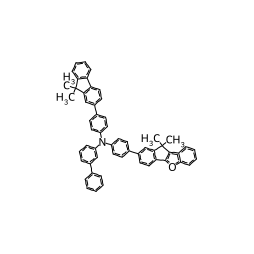 CC1(C)c2ccccc2-c2ccc(-c3ccc(N(c4ccc(-c5ccc6c(c5)C(C)(C)c5c-6oc6ccccc56)cc4)c4cccc(-c5ccccc5)c4)cc3)cc21